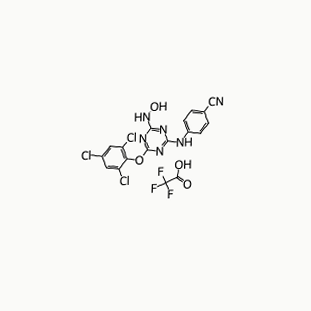 N#Cc1ccc(Nc2nc(NO)nc(Oc3c(Cl)cc(Cl)cc3Cl)n2)cc1.O=C(O)C(F)(F)F